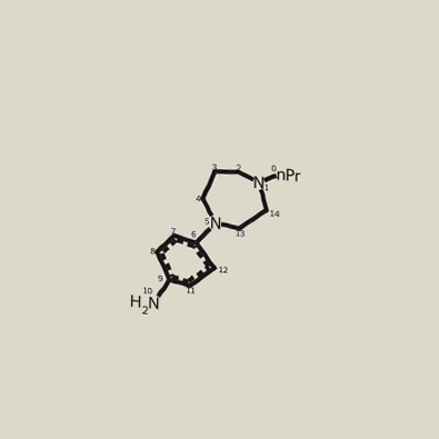 CCCN1CCCN(c2ccc(N)cc2)CC1